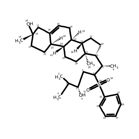 CC(C)[C@@H](O)CC([C@@H](C)[C@H]1CC[C@H]2[C@@H]3CC=C4C[C@@](C)(O)CC[C@@H]4[C@H]3CC[C@]12C)S(=O)(=O)c1ccccc1